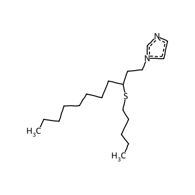 CCCCCCCCC(CCn1ccnc1)SCCCCC